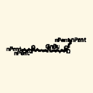 CCCCCC(CCCCC)CCCOC(=O)CCCCCCCN(CCCCCCCC(=O)OCCCC(CCCCC)CCCCC)C(=O)CCCC